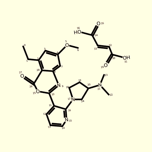 CCc1cc(OC)cc2nc(-c3cccnc3N3CCC(N(C)C)C3)oc(=O)c12.O=C(O)C=CC(=O)O